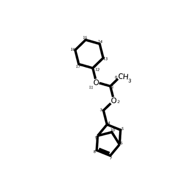 CC(OCC1CC2C=CC1C2)OC1CCCCC1